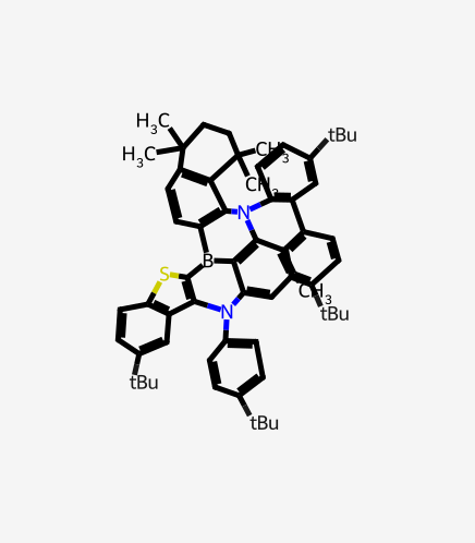 Cc1cc2c3c(c1)N(c1ccc(C(C)(C)C)cc1)c1c(sc4ccc(C(C)(C)C)cc14)B3c1ccc3c(c1N2c1ccc(C(C)(C)C)cc1-c1ccc(C(C)(C)C)cc1)C(C)(C)CCC3(C)C